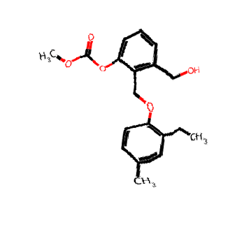 CCc1cc(C)ccc1OCc1c(CO)cccc1OC(=O)OC